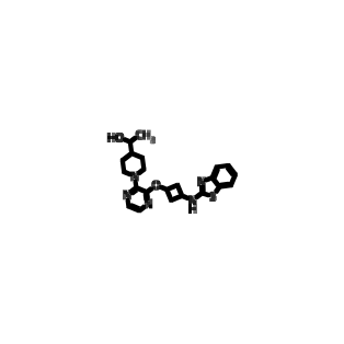 CC(O)C1CCN(c2nccnc2OC2CC(Nc3nc4ccccc4s3)C2)CC1